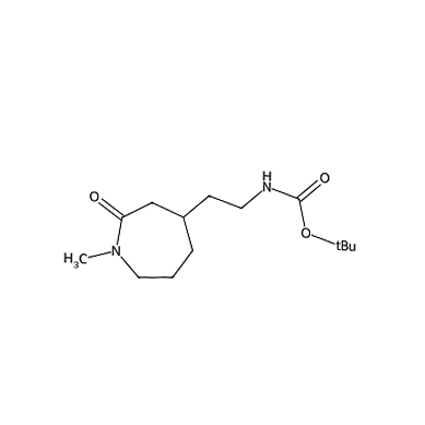 CN1CCCC(CCNC(=O)OC(C)(C)C)CC1=O